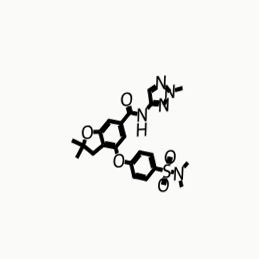 CN(C)S(=O)(=O)c1ccc(Oc2cc(C(=O)Nc3cnn(C)n3)cc3c2CC(C)(C)O3)cc1